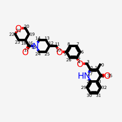 Cc1c(COc2cccc(OCC3CCN(C(=O)C4CCOCC4)CC3)c2)[nH]c2ccccc2c1=O